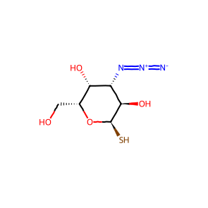 [N-]=[N+]=N[C@@H]1[C@@H](O)[C@@H](S)O[C@H](CO)[C@@H]1O